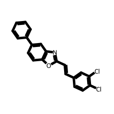 Clc1ccc(C=Cc2nc3cc(-c4ccccc4)ccc3o2)cc1Cl